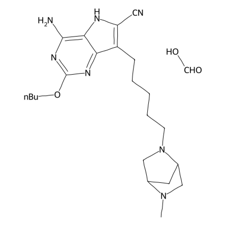 CCCCOc1nc(N)c2[nH]c(C#N)c(CCCCCN3CC4CC3CN4C)c2n1.O=CO